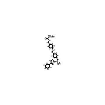 CCCN(Cc1ccc(COc2ccc(CCC(=O)OC)cc2)cc1)c1nc(-c2ccccc2)cs1